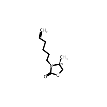 C=CCCCCN1C(=O)OC[C@@H]1C